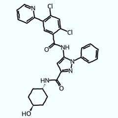 O=C(N[C@H]1CC[C@H](O)CC1)c1cc(NC(=O)c2cc(-c3ccccn3)c(Cl)cc2Cl)n(-c2ccccc2)n1